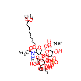 COC(=O)CCCCCCCCO[C@@H]1O[C@H](CO)[C@@H](O[C@@H]2O[C@H](CO)[C@H](O)[C@H](OS(=O)(=O)[O-])[C@H]2O[C@@H]2O[C@@H](C)[C@@H](O)[C@@H](O)[C@@H]2O)[C@H](O[C@@H]2O[C@@H](C)[C@@H](O)[C@@H](O)[C@@H]2O)[C@H]1NC(C)=O.[Na+]